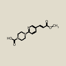 COC(=O)C=Cc1ccc(N2CCN(C(=O)O)CC2)nc1